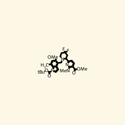 CNc1nc(C2CC(F)(F)CCN2Cc2c(OC)cc(C)c3c2ccn3C(=O)OC(C)(C)C)ccc1C(=O)OC